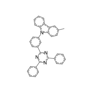 Cc1ccc2c(c1)c1ccccc1n2-c1cccc(-c2nc(-c3ccccc3)nc(-c3ccccc3)n2)c1